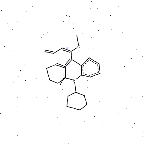 C=C/C=C(OC)\C(=C(/C)OC)c1ccccc1P(C1CCCCC1)C1CCCCC1